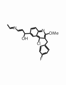 C/C=N/C=C/C(O)c1ccc2nc(OC)c(Cc3ccc(F)cc3)c(Cl)c2c1